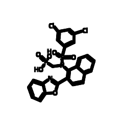 O=P(O)(O)CN(c1c(-c2nc3ccccc3o2)ccc2ccccc12)S(=O)(=O)c1cc(Cl)cc(Cl)c1